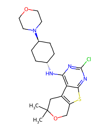 CC1(C)Cc2c(sc3nc(Cl)nc(N[C@H]4CC[C@H](N5CCOCC5)CC4)c23)CO1